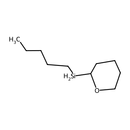 CCCCC[SiH2]C1CCCCO1